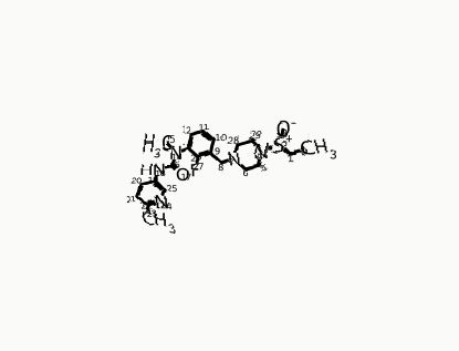 CC[S+]([O-])N1CCN(Cc2cccc(N(C)C(=O)Nc3ccc(C)nc3)c2F)CC1